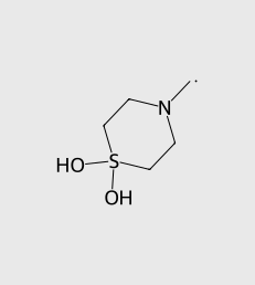 [CH2]N1CCS(O)(O)CC1